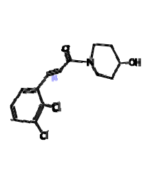 O=C(/C=C/c1cc[c]c(Cl)c1Cl)N1CCC(O)CC1